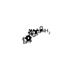 NC(=O)OCC(=CF)Cn1ncn(-c2cc(F)c(Br)c(F)c2)c1=O